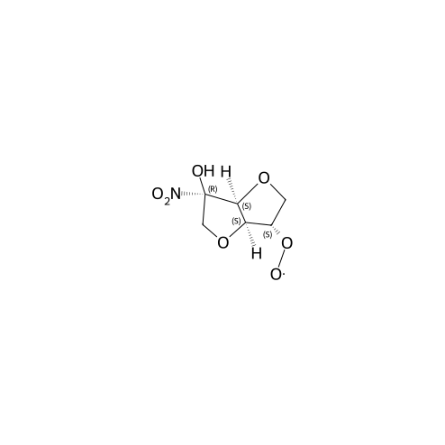 [O]O[C@H]1CO[C@H]2[C@@H]1OC[C@]2(O)[N+](=O)[O-]